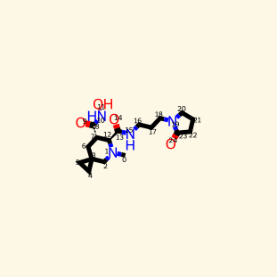 CN1CC2(CC2)C[C@H](C(=O)NO)[C@H]1C(=O)NCCCN1CCCC1=O